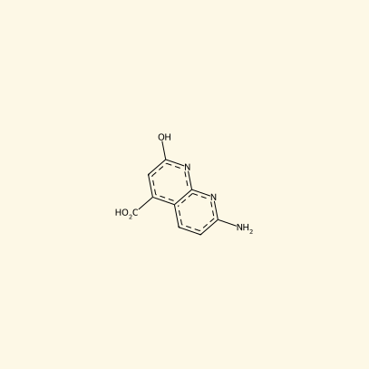 Nc1ccc2c(C(=O)O)cc(O)nc2n1